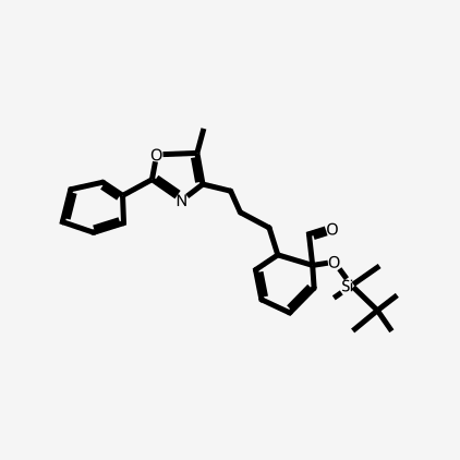 Cc1oc(-c2ccccc2)nc1CCCC1C=CC=CC1(C=O)O[Si](C)(C)C(C)(C)C